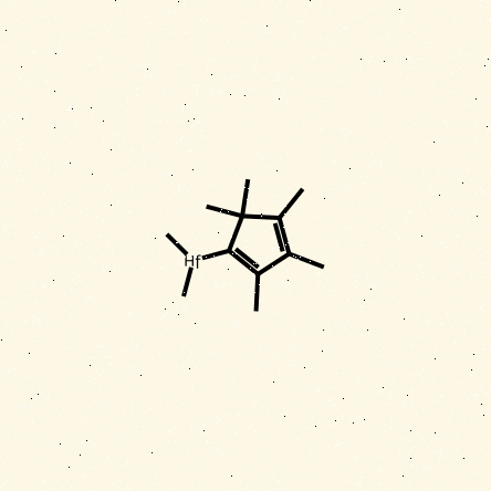 CC1=C(C)C(C)(C)[C]([Hf]([CH3])[CH3])=C1C